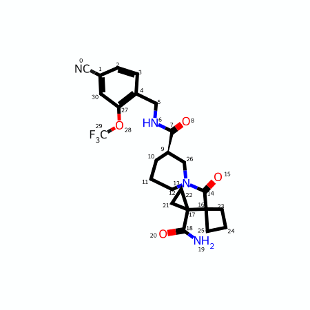 N#Cc1ccc(CNC(=O)[C@@H]2CCCN(C(=O)C3(C4(C(N)=O)CC4)CCC3)C2)c(OC(F)(F)F)c1